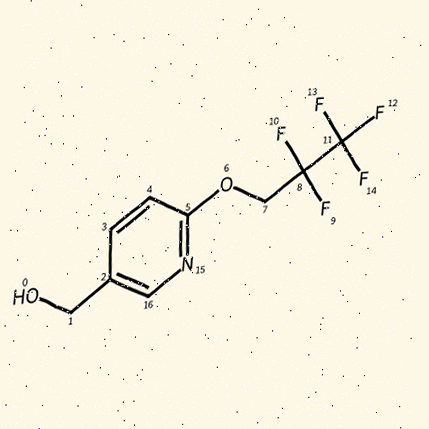 OCc1ccc(OCC(F)(F)C(F)(F)F)nc1